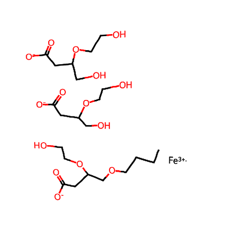 CCCCOCC(CC(=O)[O-])OCCO.O=C([O-])CC(CO)OCCO.O=C([O-])CC(CO)OCCO.[Fe+3]